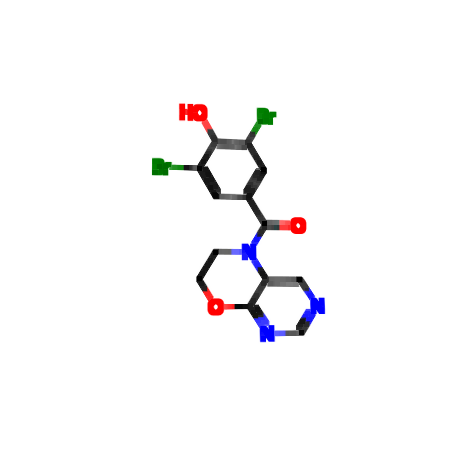 O=C(c1cc(Br)c(O)c(Br)c1)N1CCOc2ncncc21